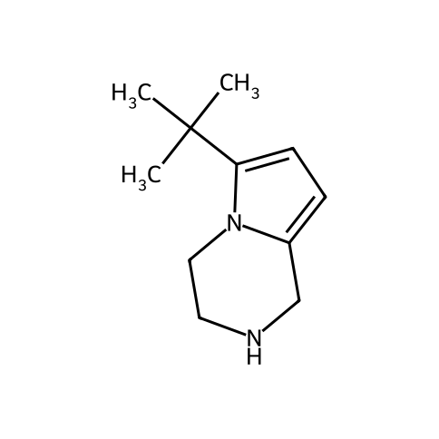 CC(C)(C)c1ccc2n1CCNC2